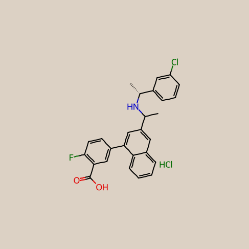 CC(N[C@H](C)c1cccc(Cl)c1)c1cc(-c2ccc(F)c(C(=O)O)c2)c2ccccc2c1.Cl